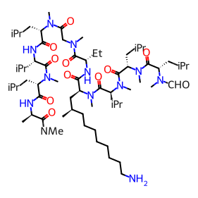 CC[C@H](NC(=O)[C@H](C[C@H](C)CCCCCCCCN)N(C)C(=O)[C@H](C(C)C)N(C)C(=O)[C@H](CC(C)C)N(C)C(=O)[C@H](CC(C)C)N(C)C=O)C(=O)N(C)CC(=O)N(C)[C@@H](CC(C)C)C(=O)N[C@H](C(=O)N(C)[C@@H](CC(C)C)C(=O)N[C@H](C)C(=O)NC)C(C)C